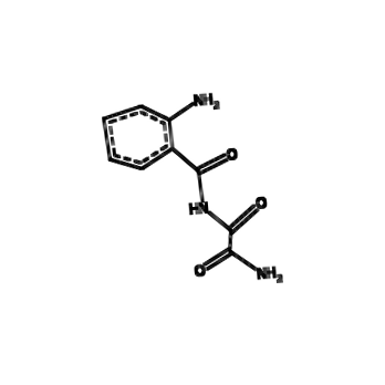 NC(=O)C(=O)NC(=O)c1ccccc1N